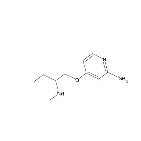 CCC(COc1ccnc(N)c1)NC